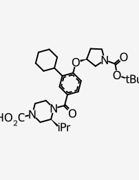 CC(C)[C@H]1CN(C(=O)O)CCN1C(=O)c1ccc(O[C@H]2CCN(C(=O)OC(C)(C)C)C2)c(C2CCCCC2)c1